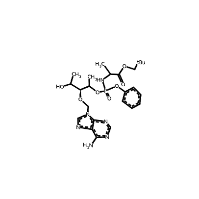 CC(NP(=O)(Oc1ccccc1)OC(C)[C@@H](OCn1cnc2c(N)ncnc21)C(C)O)C(=O)OCC(C)(C)C